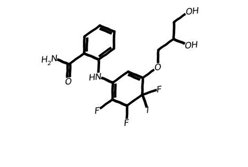 NC(=O)c1ccccc1NC1=C(F)C(F)C(F)(I)C(OCC(O)CO)=C1